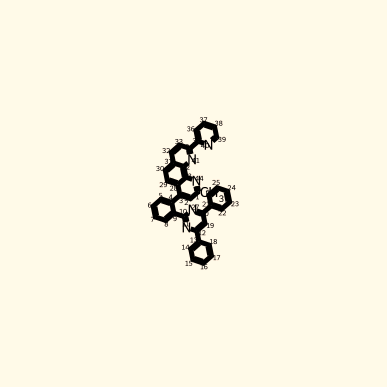 Cc1cc(-c2ccccc2-c2nc(-c3ccccc3)cc(-c3ccccc3)n2)c2ccc3ccc(-c4ccccn4)nc3c2n1